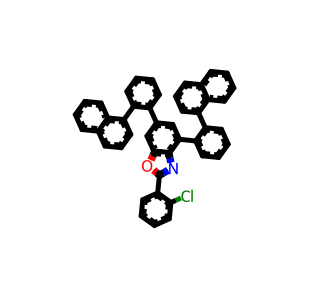 Clc1ccccc1-c1nc2c(-c3ccccc3-c3cccc4ccccc34)cc(-c3ccccc3-c3cccc4ccccc34)cc2o1